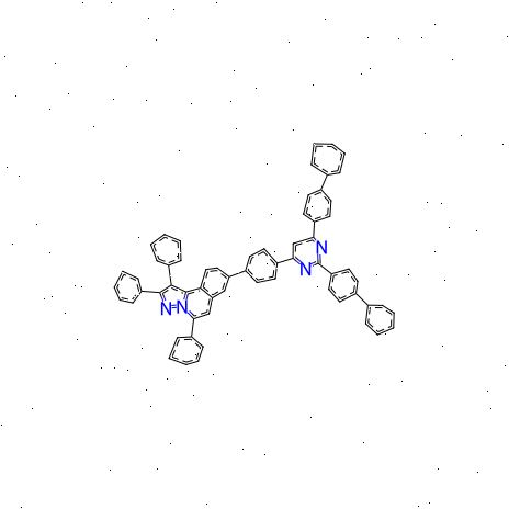 c1ccc(-c2ccc(-c3cc(-c4ccc(-c5ccc6c(c5)cc(-c5ccccc5)n5nc(-c7ccccc7)c(-c7ccccc7)c65)cc4)nc(-c4ccc(-c5ccccc5)cc4)n3)cc2)cc1